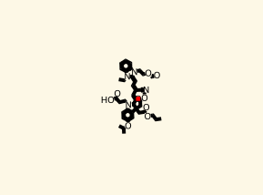 CCCOC(=O)CC1(CC(=O)OC)C(/C=C/C(C#N)=C/C=C2\N(CC)c3ccccc3N2CCOC=O)=[N+](CCC(=O)O)c2ccc(OC(C)C)cc21